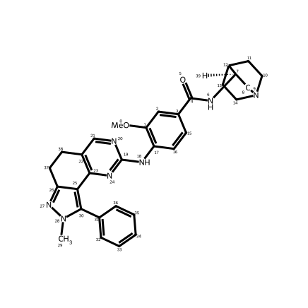 COc1cc(C(=O)N[C@@H]2CN3CCC2CC3)ccc1Nc1ncc2c(n1)-c1c(nn(C)c1-c1ccccc1)CC2